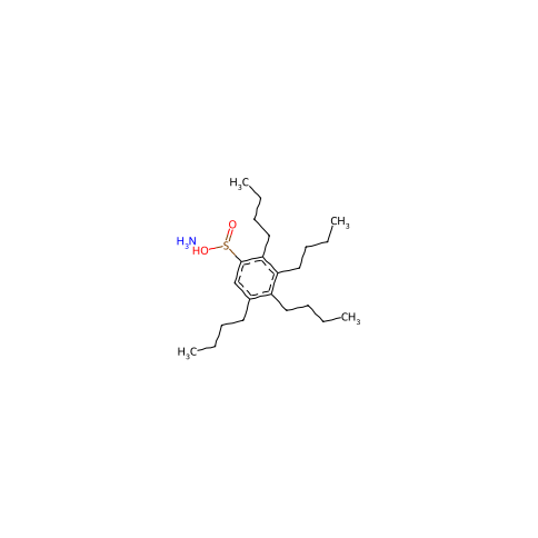 CCCCc1cc(S(=O)O)c(CCCC)c(CCCC)c1CCCC.N